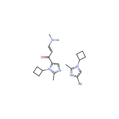 CC(=O)c1cn(C2CCC2)c(C)n1.Cc1ncc(C(=O)/C=C/N(C)C)n1C1CCC1